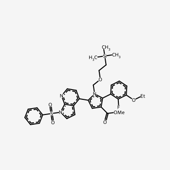 CCOc1cccc(-c2c(C(=O)OC)cc(-c3ccnc4c3ccn4S(=O)(=O)c3ccccc3)n2COCC[Si](C)(C)C)c1F